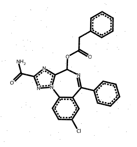 NC(=O)c1nc2n(n1)-c1ccc(Cl)cc1C(c1ccccc1)=NC2OC(=O)Cc1ccccc1